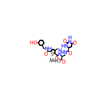 COC(=O)C(CNC(=O)c1cc(=O)[nH]c(=O)[nH]1)NC(=O)c1sc(C(=O)NCc2cccc(O)c2)cc1C